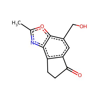 Cc1nc2c3c(cc(CO)c2o1)C(=O)CC3